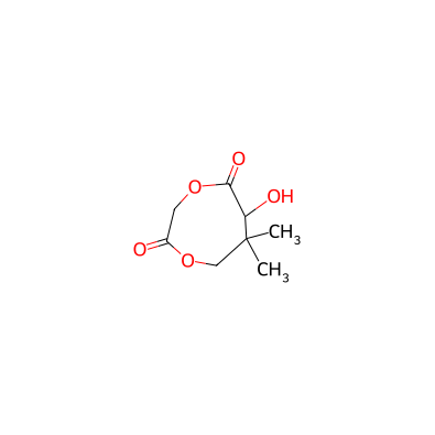 CC1(C)COC(=O)COC(=O)C1O